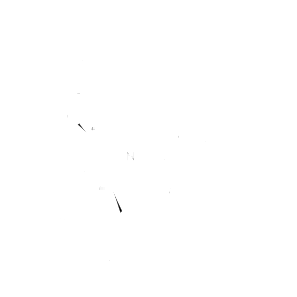 CC(C)(C)OC(=O)N1C[C@H](O[Si](C)(C)C(C)(C)C)C[C@@H]1C=C(Br)Br